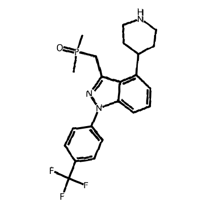 CP(C)(=O)Cc1nn(-c2ccc(C(F)(F)F)cc2)c2cccc(C3CCNCC3)c12